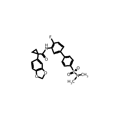 CN(C)S(=O)(=O)c1ccc(-c2ccc(F)c(NC(=O)C3(c4ccc5c(c4)OCO5)CC3)c2)cc1